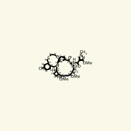 COc1nn(C)cc1C(=O)NS1(=O)=NC(=O)c2ccc3c(c2)N(Cc2ccc(Cl)cc2CCCCO3)C[C@@H]2CC[C@H]2[C@@H](OC)/C=C/[C@@H](OC)[C@H](C)C1